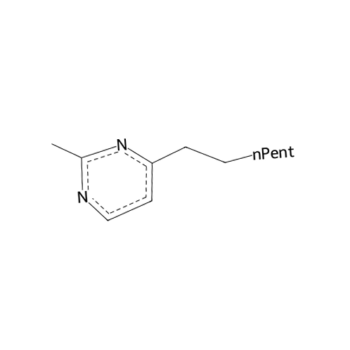 CCCCCCCc1ccnc(C)n1